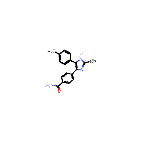 Cc1ccc(-c2[nH]c(C(C)(C)C)nc2-c2ccc(C(N)=O)cc2)cc1